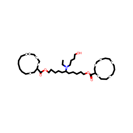 CCN(CCCCO)C(CCCCCOC(=O)C1CCCCCCCCCCCCCC1)CCCCCOC(=O)C1CCCCCCCCCCCCCC1